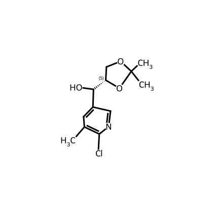 Cc1cc(C(O)[C@@H]2COC(C)(C)O2)cnc1Cl